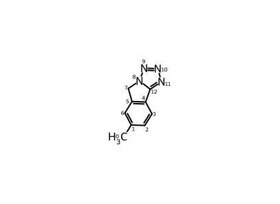 Cc1ccc2c(c1)Cn1nnnc1-2